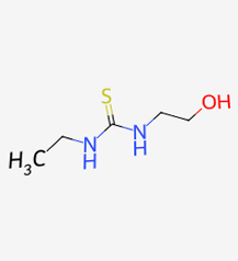 CCNC(=S)NCCO